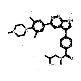 Cc1cc(-c2cc3c(-c4ccc(C(=O)N(C)CC(C)O)cc4)c[nH]c3nn2)cc(C)c1N1CCN(C)CC1